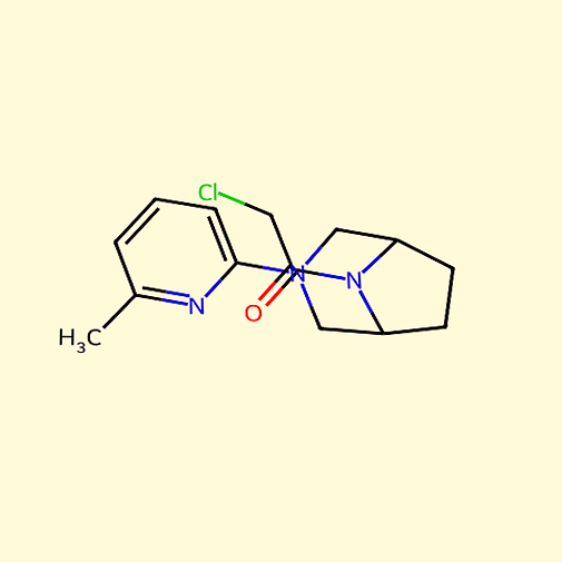 Cc1cccc(N2CC3CCC(C2)N3C(=O)CCl)n1